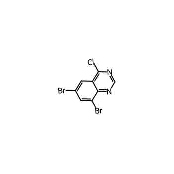 Clc1ncnc2c(Br)cc(Br)cc12